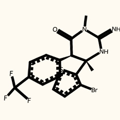 CN1C(=N)N[C@](C)(c2sccc2Br)[C@@H](c2ccc(C(F)(F)F)cc2)C1=O